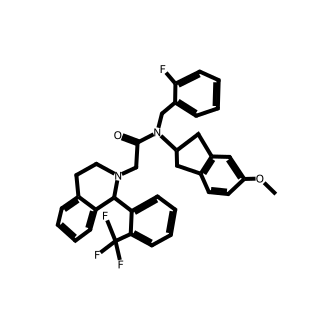 COc1ccc2c(c1)CC(N(Cc1ccccc1F)C(=O)CN1CCc3ccccc3C1c1ccccc1C(F)(F)F)C2